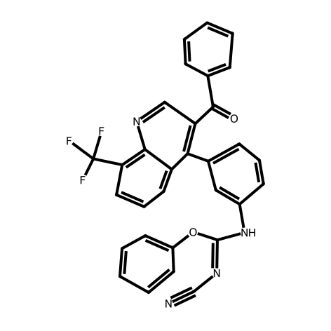 N#C/N=C(/Nc1cccc(-c2c(C(=O)c3ccccc3)cnc3c(C(F)(F)F)cccc23)c1)Oc1ccccc1